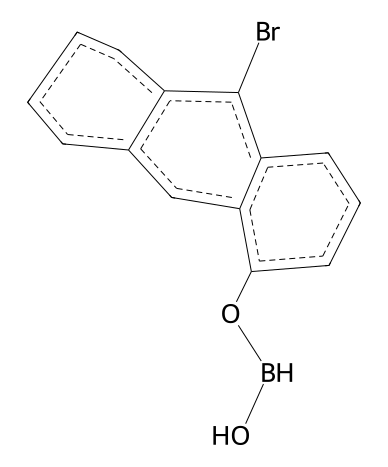 OBOc1cccc2c(Br)c3ccccc3cc12